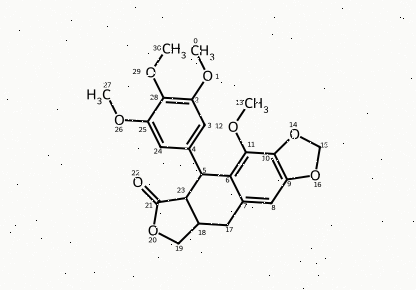 COc1cc(C2c3c(cc4c(c3OC)OCO4)CC3COC(=O)C32)cc(OC)c1OC